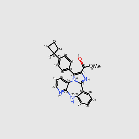 COC(=O)c1nc2n(c1-c1ccc(C3(C)CCC3)cc1)-c1cccnc1Nc1ccccc1-2